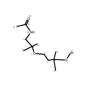 CC(C)OC(C)(C)CCOC(C)(C)CNC(=O)I